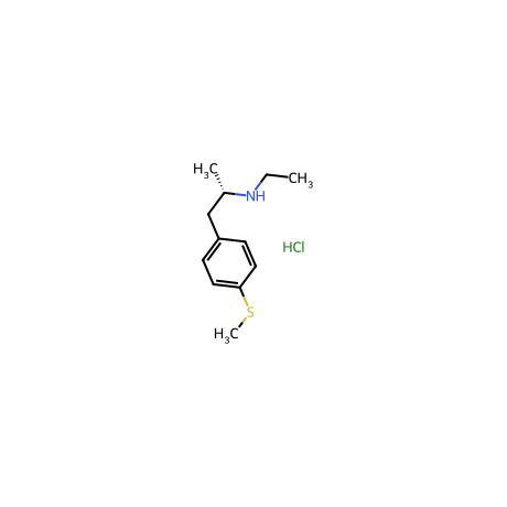 CCN[C@@H](C)Cc1ccc(SC)cc1.Cl